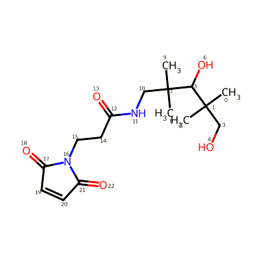 CC(C)(CO)C(O)C(C)(C)CNC(=O)CCN1C(=O)C=CC1=O